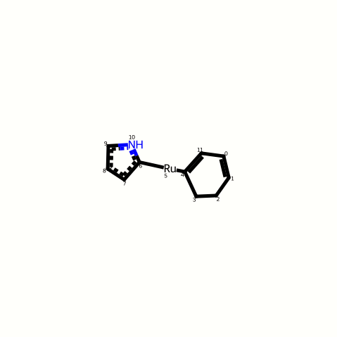 C1=CCC[C]([Ru][c]2ccc[nH]2)=C1